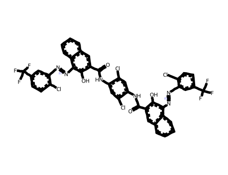 O=C(Nc1cc(Cl)c(NC(=O)c2cc3ccccc3c(/N=N/c3cc(C(F)(F)F)ccc3Cl)c2O)cc1Cl)c1cc2ccccc2c(/N=N/c2cc(C(F)(F)F)ccc2Cl)c1O